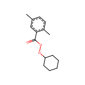 Cc1ccc(C)c(C(=O)OO[C]2CC[CH]CC2)c1